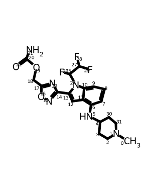 CN1CCC(Nc2cccc3c2cc(-c2noc(COC(N)=O)n2)n3C(F)C(F)F)CC1